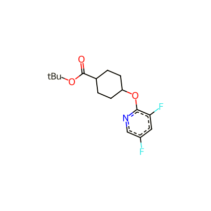 CC(C)(C)OC(=O)C1CCC(Oc2ncc(F)cc2F)CC1